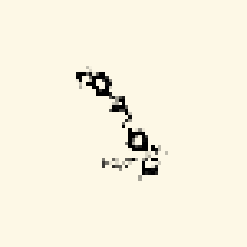 C[C@@H]1C=N[N+](c2ccc(OCC3CN(c4ccc5c(c4)OCO5)C3)cc2)(C(F)(F)F)[C@H]1CC(=O)O